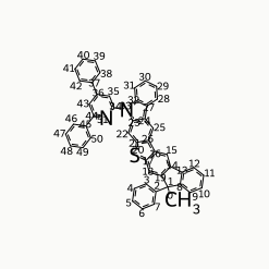 CC1(c2ccccc2)c2ccccc2-c2cc3c(cc21)sc1cc2c(cc13)c1ccccc1n2-c1cc(-c2ccccc2)cc(-c2ccccc2)n1